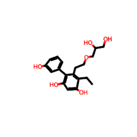 CCc1c(O)cc(O)c(-c2cccc(O)c2)c1CCOCC(O)CO